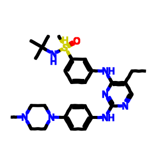 CCc1cnc(Nc2ccc(N3CCN(C)CC3)cc2)nc1Nc1cccc([SH](C)(=O)NC(C)(C)C)c1